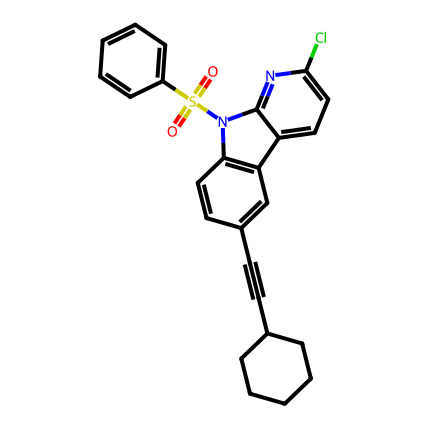 O=S(=O)(c1ccccc1)n1c2ccc(C#CC3CCCCC3)cc2c2ccc(Cl)nc21